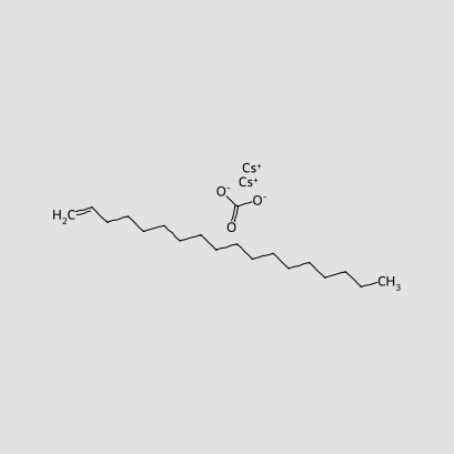 C=CCCCCCCCCCCCCCCCC.O=C([O-])[O-].[Cs+].[Cs+]